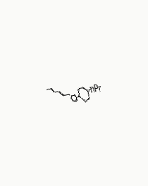 C/C=C/C=C/COC1CCC(CCC)CC1